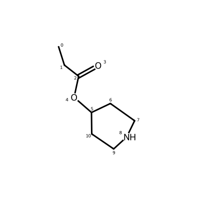 CCC(=O)OC1CCNCC1